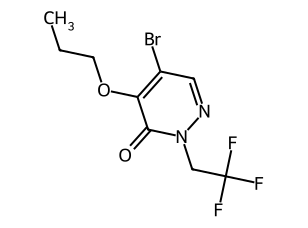 CCCOc1c(Br)cnn(CC(F)(F)F)c1=O